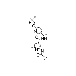 Cc1cc(C(=O)NC(C)c2ccc(OCC(C)(F)F)nc2)cc(NC(=O)C2CC2)n1